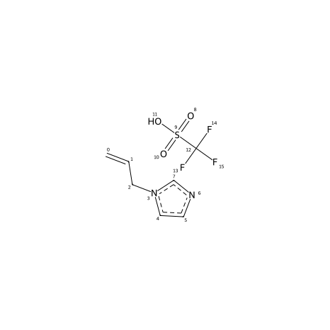 C=CCn1ccnc1.O=S(=O)(O)C(F)(F)F